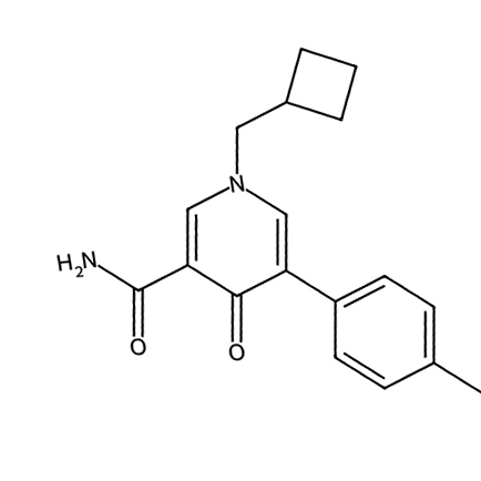 Cc1ccc(-c2cn(CC3CCC3)cc(C(N)=O)c2=O)cc1